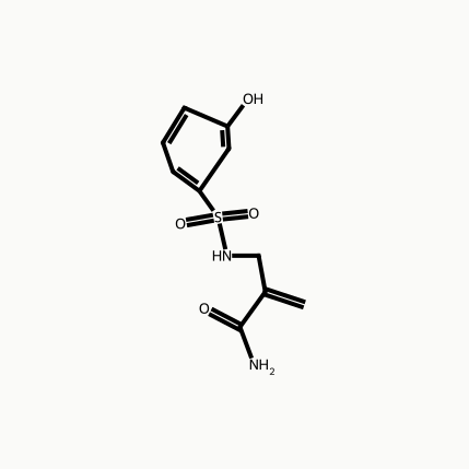 C=C(CNS(=O)(=O)c1cccc(O)c1)C(N)=O